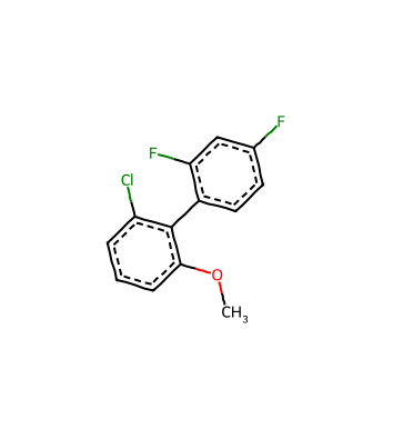 COc1cccc(Cl)c1-c1ccc(F)cc1F